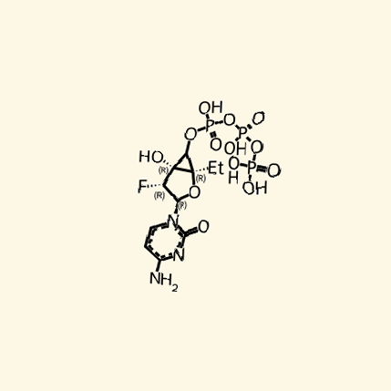 CC[C@]12O[C@@H](n3ccc(N)nc3=O)[C@H](F)[C@@]1(O)C2OP(=O)(O)OP(=O)(O)OP(=O)(O)O